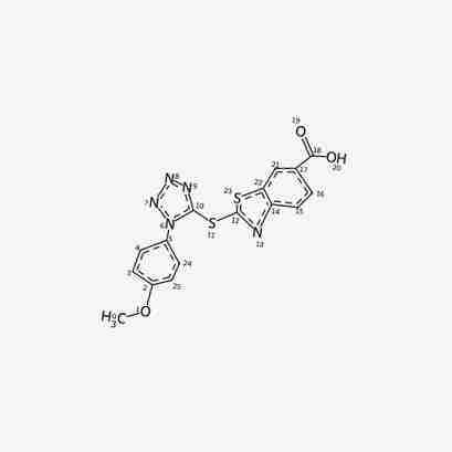 COc1ccc(-n2nnnc2Sc2nc3ccc(C(=O)O)cc3s2)cc1